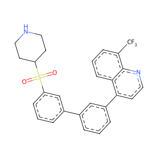 O=S(=O)(c1cccc(-c2cccc(-c3ccnc4c(C(F)(F)F)cccc34)c2)c1)C1CCNCC1